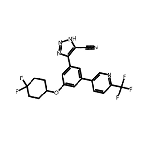 N#Cc1[nH]nnc1-c1cc(OC2CCC(F)(F)CC2)cc(-c2ccc(C(F)(F)F)nc2)c1